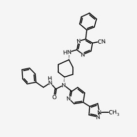 Cn1cc(-c2ccc(N(C(=O)NCc3ccccc3)[C@H]3CC[C@@H](Nc4ncc(C#N)c(-c5ccccc5)n4)CC3)nc2)cn1